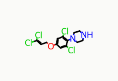 ClC(Cl)=CCOc1cc(Cl)c(N2CCNCC2)c(Cl)c1